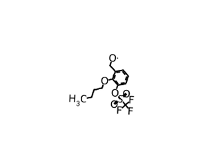 CCCCOc1c(C[O])cccc1OS(=O)(=O)C(F)(F)F